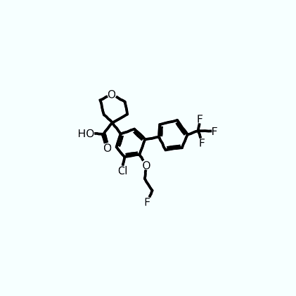 O=C(O)C1(c2cc(Cl)c(OCCF)c(-c3ccc(C(F)(F)F)cc3)c2)CCOCC1